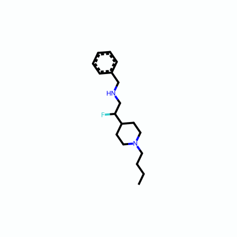 CCCCN1CCC(C(F)CNCc2ccccc2)CC1